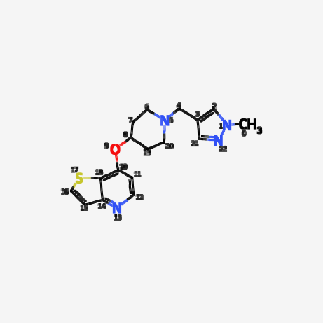 Cn1cc(CN2CCC(Oc3ccnc4ccsc34)CC2)cn1